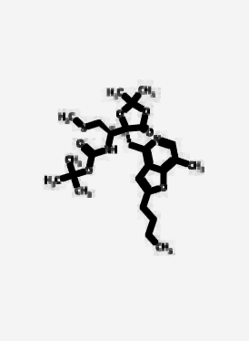 CCCCc1cc2c(C[C@]3([C@H](CSC)NC(=O)OC(C)(C)C)OC(C)(C)OC3=O)ncc(C)c2o1